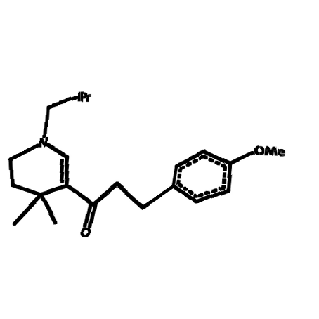 COc1ccc(CCC(=O)C2=CN(CC(C)C)CCC2(C)C)cc1